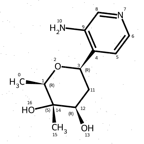 C[C@H]1O[C@@H](c2ccncc2N)C[C@@H](O)[C@]1(C)O